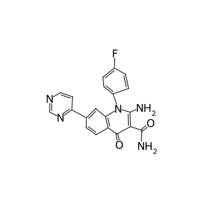 NC(=O)c1c(N)n(-c2ccc(F)cc2)c2cc(-c3ccncn3)ccc2c1=O